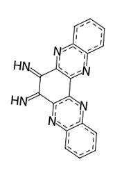 N=C1C(=N)c2nc3ccccc3nc2-c2nc3ccccc3nc21